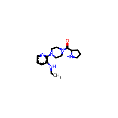 CCNc1cccnc1N1CCN(C(=O)C2CCCN2)CC1